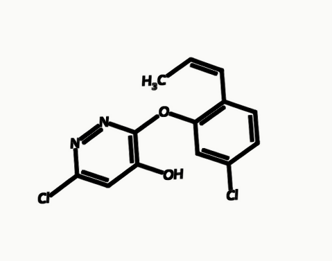 C/C=C\c1ccc(Cl)cc1Oc1nnc(Cl)cc1O